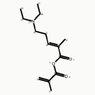 C=C(C)C(=O)OC(=O)C(C)=CCCN(CC)CC